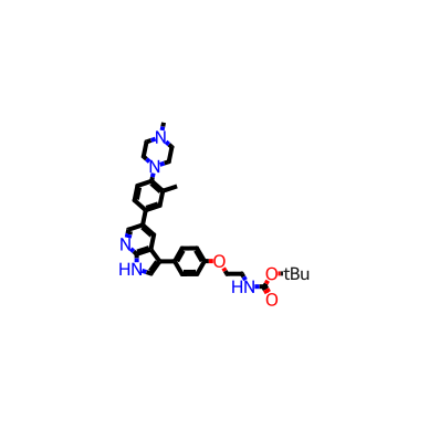 Cc1cc(-c2cnc3[nH]cc(-c4ccc(OCCNC(=O)OC(C)(C)C)cc4)c3c2)ccc1N1CCN(C)CC1